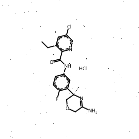 CCc1cc(Cl)cnc1C(=O)Nc1ccc(F)c([C@]2(C)COCC(N)=N2)c1.Cl